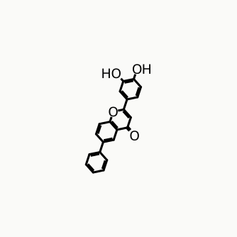 O=c1cc(-c2ccc(O)c(O)c2)oc2ccc(-c3ccccc3)cc12